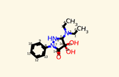 CCN(CC)C1NN(c2ccccc2)C(=O)C1(O)O